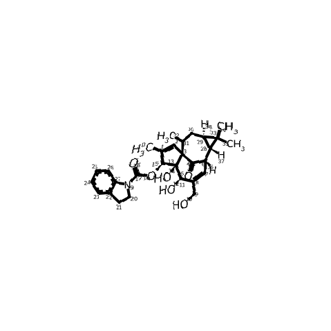 CC1=CC23C(=O)[C@@H](C=C(CO)[C@@H](O)[C@]2(O)[C@H]1OC(=O)N1CCc2ccccc21)[C@@H]1[C@@H](CC3C)C1(C)C